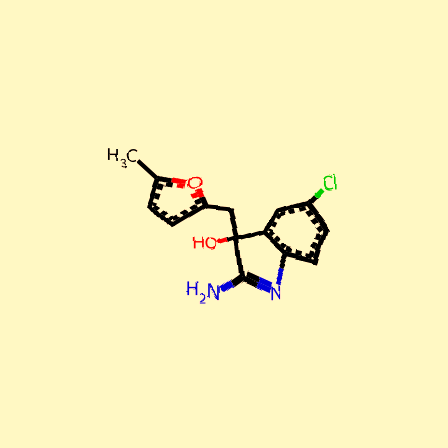 Cc1ccc(CC2(O)C(N)=Nc3ccc(Cl)cc32)o1